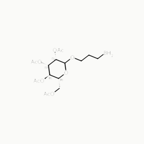 BCCCOC1O[C@H](COC(C)=O)[C@@H](OC(C)=O)[C@H](OC(C)=O)[C@@H]1OC(C)=O